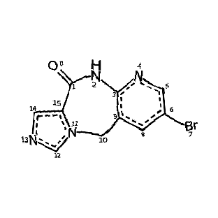 O=C1Nc2ncc(Br)cc2Cn2cncc21